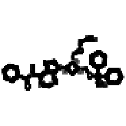 CC(C)(C)SOC[C@@H]1[C@@H](CO[Si](c2ccccc2)(c2ccccc2)C(C)(C)C)C[C@H]1n1cnc2c(NC(=O)c3ccccc3)ncnc21